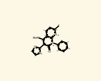 CNc1c(-c2ncco2)c(=O)n(-c2ccccc2)c2nc(C)ccc12